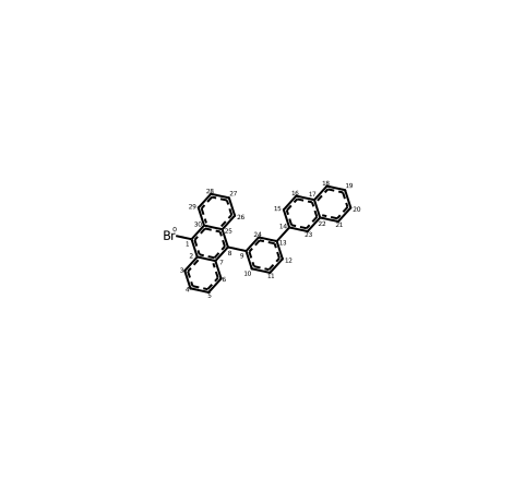 Brc1c2ccccc2c(-c2cccc(-c3ccc4ccccc4c3)c2)c2ccccc12